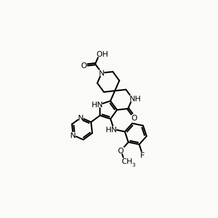 COc1c(F)cccc1Nc1c(-c2ccncn2)[nH]c2c1C(=O)NCC21CCN(C(=O)O)CC1